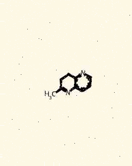 CC1=Nc2cccnc2CC1